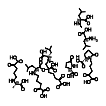 CC(C)C[C@H](N)C(=O)O.CC(C)C[C@H](NCCCC(=O)C(=O)O)C(=O)OC(CCCC(=O)C(=O)O)(CN(C)[C@@H](CC(C)C)C(=O)O)C(=O)O.CN[C@@H](CC(C)C)C(=O)O.C[C@H](NCCCC(=O)C(=O)O)C(=O)O.O=C(O)C(=O)CCCN1C(=O)CC[C@H]1C(=O)O.O=C1CC[C@@H](C(=O)O)N1